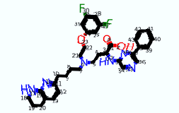 O=C(O)C(CCN(CCCCc1ccc2c(n1)NCCC2)CCOc1cc(F)cc(F)c1)Nc1cncc(-c2ccccc2)n1